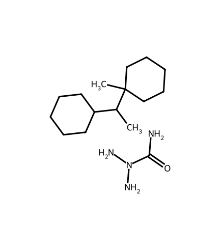 CC(C1CCCCC1)C1(C)CCCCC1.NC(=O)N(N)N